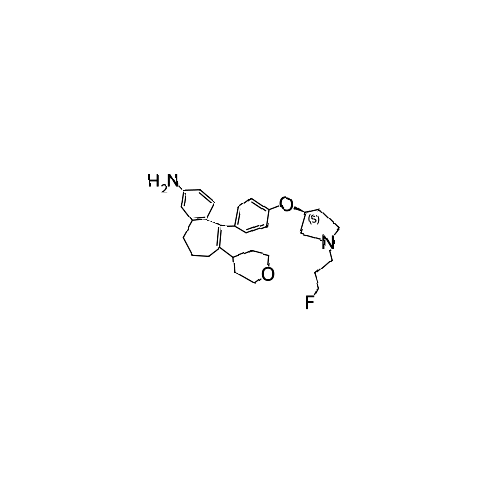 Nc1ccc2c(c1)CCCC(C1CCOCC1)=C2c1ccc(O[C@H]2CCN(CCCF)C2)cc1